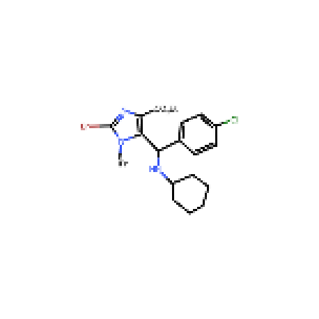 CCOC(=O)c1nc(Br)n(C(C)C)c1C(NC1CCCCC1)c1ccc(Cl)cc1